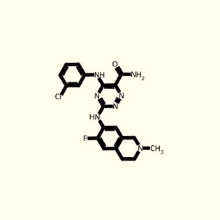 CN1CCc2cc(F)c(Nc3nnc(C(N)=O)c(Nc4cccc(Cl)c4)n3)cc2C1